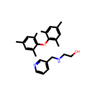 Cc1cc(C)c(Oc2c(C)cc(C)cc2C)c(C)c1.OCCNCc1cccnc1